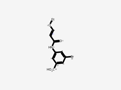 CCO/C=C/C(=O)Nc1cc(Br)cc(C(=O)O)c1